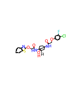 O=C(COc1ccc(Cl)c(F)c1)NC12CCC(NC(=O)COc3nc4ccccc4s3)(CC1)[C@@H](O)C2